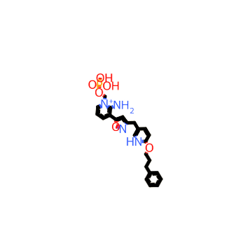 Nc1c(-c2cc(CC3=CNC(OCCCc4ccccc4)C=C3)no2)ccc[n+]1COP(=O)(O)O